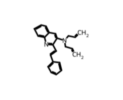 C=CCN(CC=C)c1cc2ccccc2nc1C=Cc1ccccc1